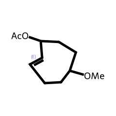 COC1CC/C=C/C(OC(C)=O)CC1